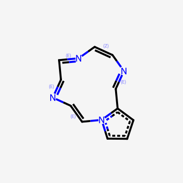 C1=C\N=C\c2cccn2/C=C/N=C/C=N/1